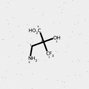 NCC(O)(C(=O)O)C(F)(F)F